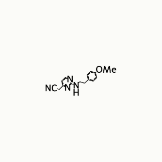 COc1ccc(CCNc2nccc(CC#N)n2)cc1